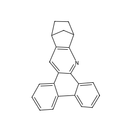 c1ccc2c(c1)c1ccccc1c1nc3c(cc21)C1CCC3C1